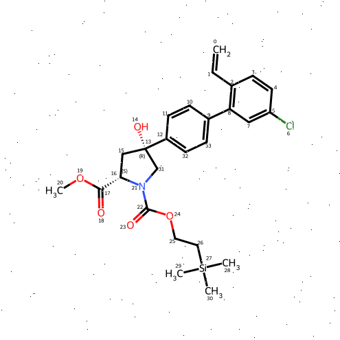 C=Cc1ccc(Cl)cc1-c1ccc([C@]2(O)C[C@@H](C(=O)OC)N(C(=O)OCC[Si](C)(C)C)C2)cc1